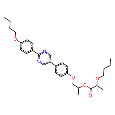 CCCCOc1ccc(-c2ncc(-c3ccc(OCC(C)OC(=O)C(C)OCCCC)cc3)cn2)cc1